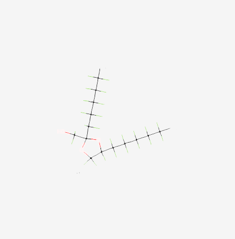 OC(F)(F)C1(C(F)(F)C(F)(F)C(F)(F)C(F)(F)C(F)(F)C(F)(F)F)OC(F)(F)C(F)(C(F)(F)C(F)(F)C(F)(F)C(F)(F)C(F)(F)C(F)(F)F)O1.[Na]